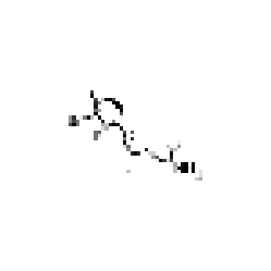 Cc1ccc(OC[C@@H](C)CCC(N)=O)c(F)c1Br